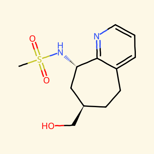 CS(=O)(=O)N[C@H]1C[C@H](CO)CCc2cccnc21